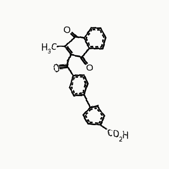 CC1=C(C(=O)c2ccc(-c3ccc(C(=O)O)cc3)cc2)C(=O)c2ccccc2C1=O